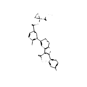 CNC(=O)c1c(-c2ccc(F)cc2)oc2ccc(-c3cc(C(=O)NC4(C(=O)OC)CC4)ccc3C)cc12